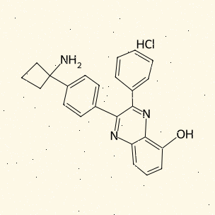 Cl.NC1(c2ccc(-c3nc4cccc(O)c4nc3-c3ccccc3)cc2)CCC1